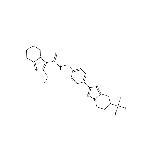 CCc1nc2n(c1C(=O)NCc1ccc(-c3nc4n(n3)CCC(C(F)(F)F)C4)cc1)CC(C)CC2